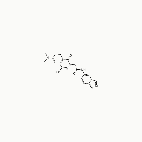 CC(C)c1nn(CC(=O)Nc2ccc3nncn3c2)c(=O)c2ccc(N(C)C)cc12